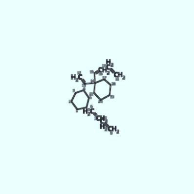 C1CCCCC1.C=C.C=C.C=C.C=CC1(C=C)CCCCC1